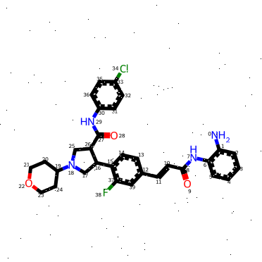 Nc1ccccc1NC(=O)/C=C/c1ccc(C2CN(C3CCOCC3)CC2C(=O)Nc2ccc(Cl)cc2)c(F)c1